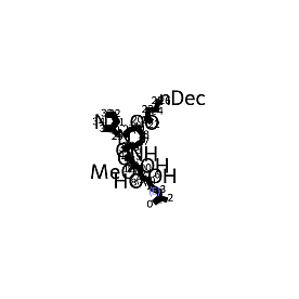 C=C(C)/C=C/[C@@H](O)[C@H](O)[C@@H](O)[C@@H](OC)C(=O)N[C@H]1CC[C@@H](OC(=O)CCCCCCCCCCCCC)CN(Cc2cccnc2)C1=O